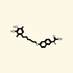 Cc1cc(CCCCCCOc2ccc3cc([C@H](C)C(=O)O)ccc3c2)c(C)c(O)c1O